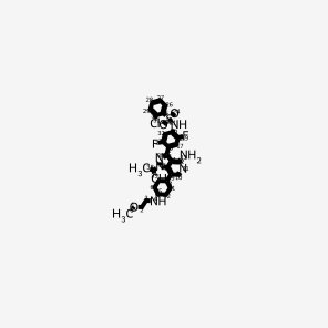 COCCNC1CCC(c2cnc(N)c3c(-c4cc(F)c(NS(=O)(=O)c5ccccc5Cl)cc4F)nn(C(C)C)c23)CC1